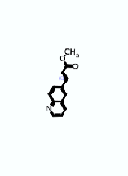 COC(=O)/C=C/c1ccc2ncccc2c1